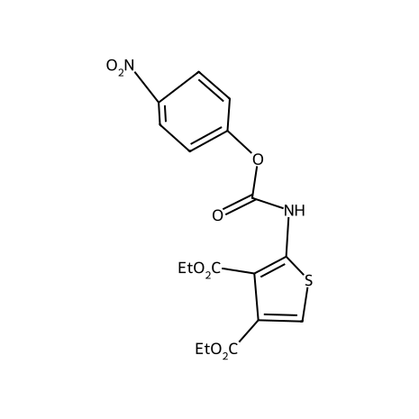 CCOC(=O)c1csc(NC(=O)Oc2ccc([N+](=O)[O-])cc2)c1C(=O)OCC